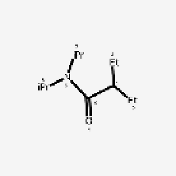 CC[C](CC)C(=O)N(C(C)C)C(C)C